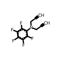 C#CCN(CC#C)c1c(F)c(F)c(F)c(F)c1F